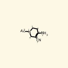 CC(=O)N1CCC(N)=C(C#N)C1